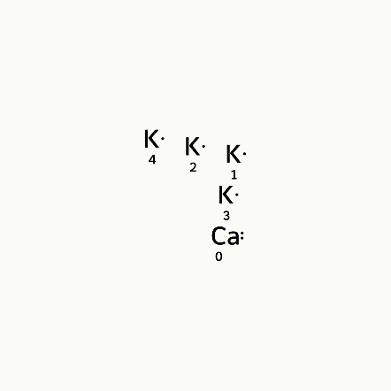 [Ca].[K].[K].[K].[K]